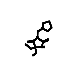 CCC1(CC)NC(=O)N(CN2CCCC2)C1=O